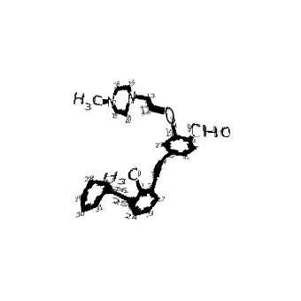 Cc1c(C#Cc2ccc(C=O)c(OCCN3CCN(C)CC3)c2)cccc1-c1ccccc1